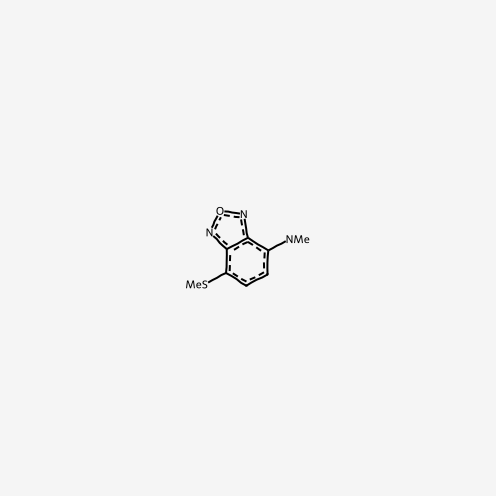 CNc1ccc(SC)c2nonc12